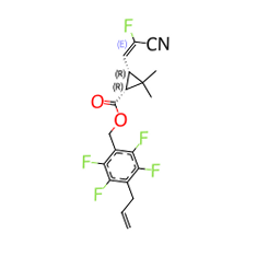 C=CCc1c(F)c(F)c(COC(=O)[C@@H]2[C@H](/C=C(/F)C#N)C2(C)C)c(F)c1F